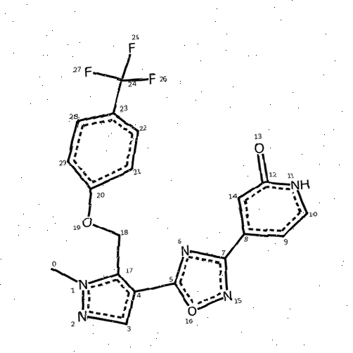 Cn1ncc(-c2nc(-c3cc[nH]c(=O)c3)no2)c1COc1ccc(C(F)(F)F)cc1